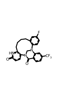 O=C1c2ccc(C(F)(F)F)cc2N2CN1c1ccc(=O)[nH]c1CCCCc1cc(F)ccc12